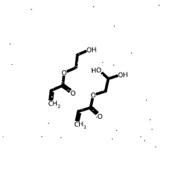 C=CC(=O)OCC(O)O.C=CC(=O)OCCO